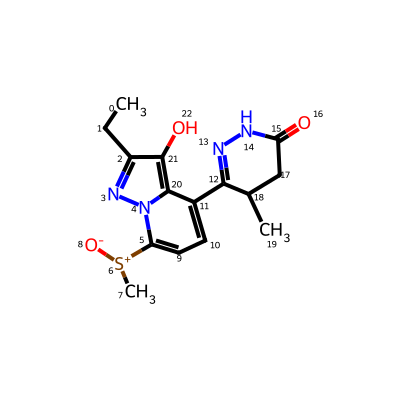 CCc1nn2c([S+](C)[O-])ccc(C3=NNC(=O)CC3C)c2c1O